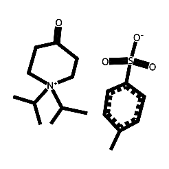 CC(C)[N+]1(C(C)C)CCC(=O)CC1.Cc1ccc(S(=O)(=O)[O-])cc1